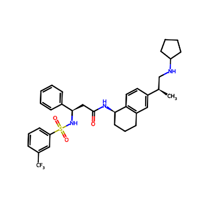 C[C@H](CNC1CCCC1)c1ccc2c(c1)CCC[C@H]2NC(=O)C[C@@H](NS(=O)(=O)c1cccc(C(F)(F)F)c1)c1ccccc1